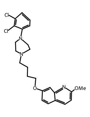 COc1ccc2ccc(OCCCCN3CCN(c4cccc(Cl)c4Cl)CC3)cc2n1